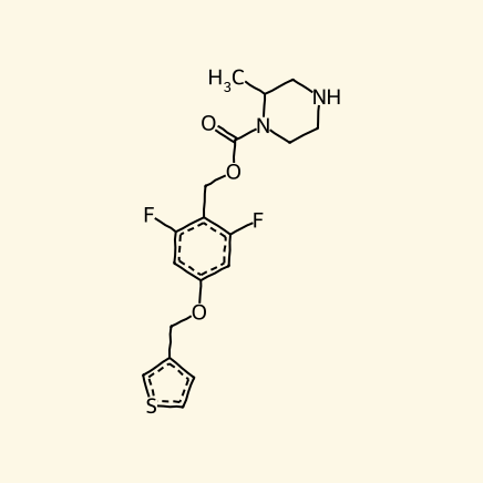 CC1CNCCN1C(=O)OCc1c(F)cc(OCc2ccsc2)cc1F